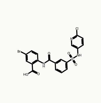 O=C(Nc1ccc(Br)cc1C(=O)O)c1cccc(S(=O)(=O)Nc2ccc(Cl)nc2)c1